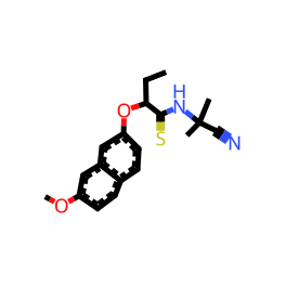 CCC(Oc1ccc2ccc(OC)cc2c1)C(=S)NC(C)(C)C#N